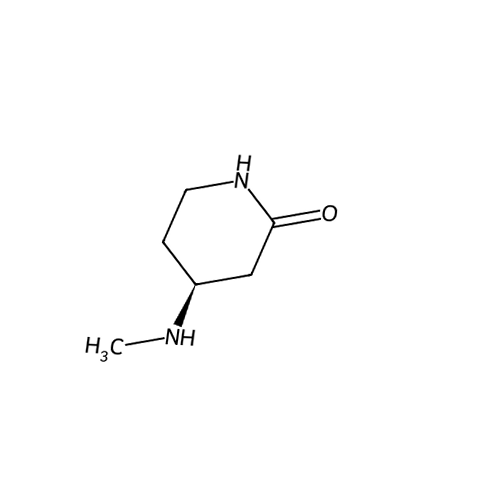 CN[C@H]1CCNC(=O)C1